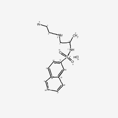 CC(C)CCNCC(C)NS(=O)(=O)c1ccc2cnccc2c1.Cl